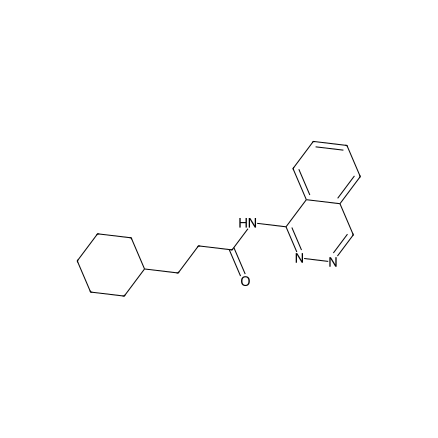 O=C(CCC1CCCCC1)Nc1nncc2ccccc12